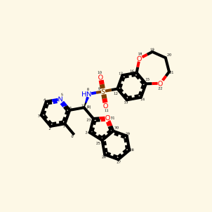 Cc1cccnc1[C@@H](NS(=O)(=O)c1ccc2c(c1)OCCCO2)c1cc2ccccc2o1